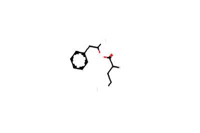 CCCC(C)C(=O)OC(C)Cc1ccccc1